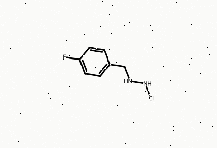 Fc1ccc(CNNCl)cc1